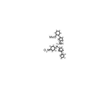 COc1ccccc1-c1csc(NC[C@@H](c2ccc([N+](=O)[O-])cc2)c2csc(-c3cccs3)n2)n1